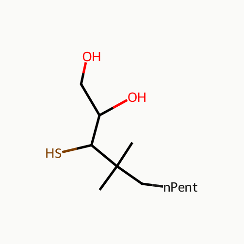 CCCCCCC(C)(C)C(S)C(O)CO